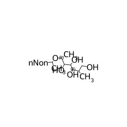 CCCCCCCCCC(C)O[C@H](C)C(O)C(O)[C@H](O)C(C)CO